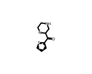 O=C(c1cccs1)C1CNCC[N]1